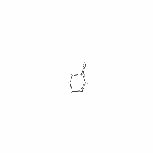 O=[N+]1C=CCCC1